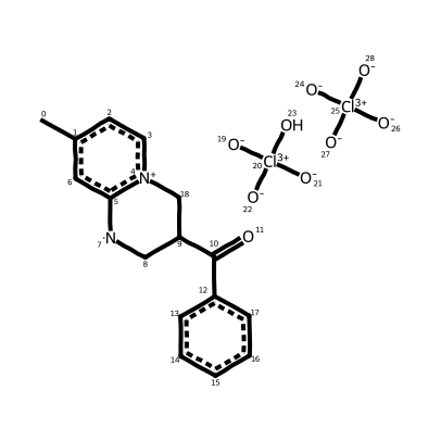 Cc1cc[n+]2c(c1)[N]CC(C(=O)c1ccccc1)C2.[O-][Cl+3]([O-])([O-])O.[O-][Cl+3]([O-])([O-])[O-]